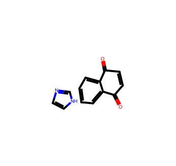 O=C1C=CC(=O)c2ccccc21.c1c[nH]cn1